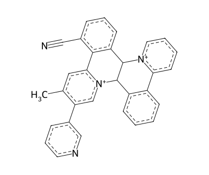 Cc1cc2[n+](cc1-c1cccnc1)C1c3ccccc3-c3cccc[n+]3C1c1cccc(C#N)c1-2